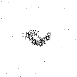 CO[C@@H](C)[C@@H](N)C1(C)CCN(c2cnc(Sc3ccc4ncn(Cc5ccnc(Cl)c5)c(=O)c4c3Cl)cn2)CC1